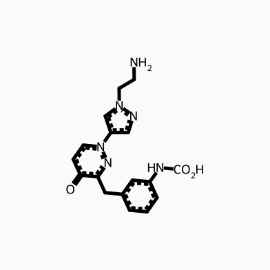 NCCn1cc(-n2ccc(=O)c(Cc3cccc(NC(=O)O)c3)n2)cn1